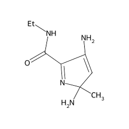 CCNC(=O)C1=NC(C)(N)C=C1N